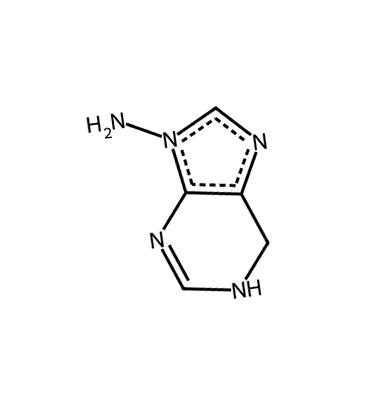 Nn1cnc2c1N=CNC2